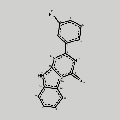 S=c1nc(-c2cccc(Br)c2)nc2[nH]c3ccccc3n12